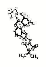 Cc1cc(Cl)nc(-c2ccnc3cc(CN4C(=O)C5C(C4=O)C5(C)C)sc23)c1C(=O)N1CCNCC1